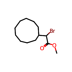 COC(=O)C(Br)C1CCCCCCCCC1